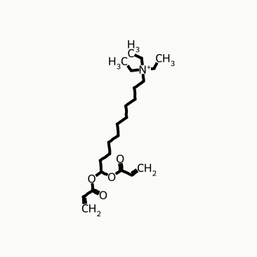 C=CC(=O)OC(CCCCCCCCCC[N+](CC)(CC)CC)OC(=O)C=C